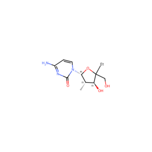 CCC1(CO)O[C@@H](n2ccc(N)nc2=O)[C@@H](C)[C@@H]1O